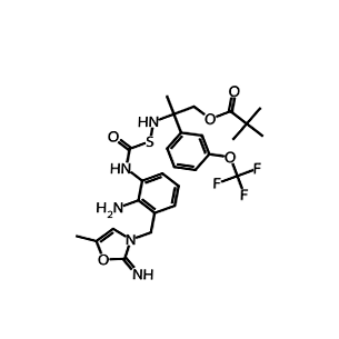 Cc1cn(Cc2cccc(NC(=O)SNC(C)(COC(=O)C(C)(C)C)c3cccc(OC(F)(F)F)c3)c2N)c(=N)o1